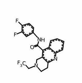 O=C(Nc1ccc(F)c(F)c1)c1c2c(nc3ccccc13)CCN(CC(F)(F)F)C2